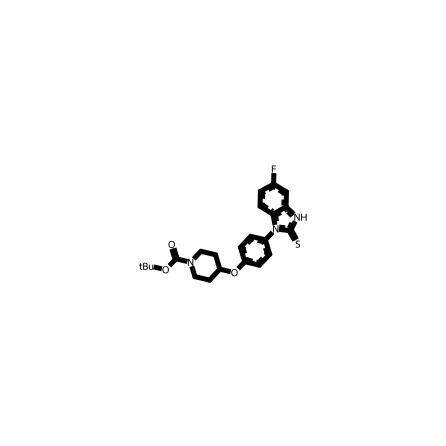 CC(C)(C)OC(=O)N1CCC(Oc2ccc(-n3c(=S)[nH]c4cc(F)ccc43)cc2)CC1